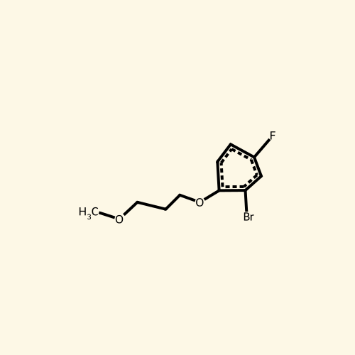 COCCCOc1ccc(F)cc1Br